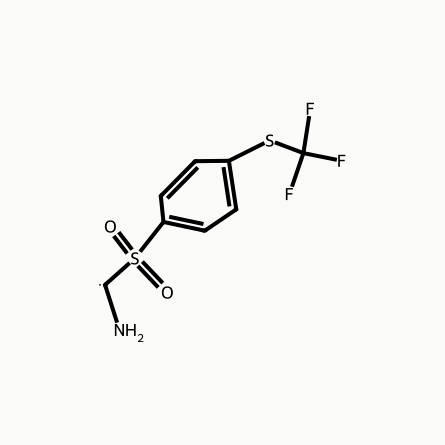 N[CH]S(=O)(=O)c1ccc(SC(F)(F)F)cc1